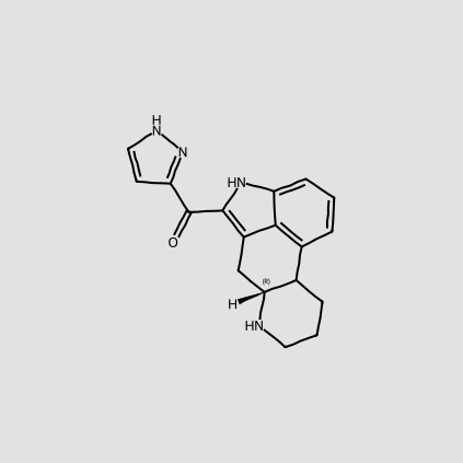 O=C(c1cc[nH]n1)c1[nH]c2cccc3c2c1C[C@H]1NCCCC31